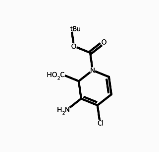 CC(C)(C)OC(=O)N1C=CC(Cl)=C(N)C1C(=O)O